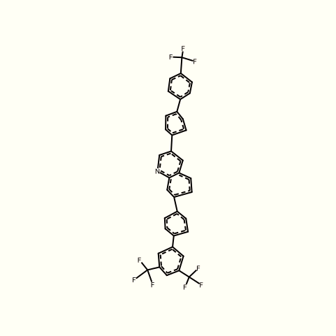 FC(F)(F)c1ccc(-c2ccc(-c3cnc4cc(-c5ccc(-c6cc(C(F)(F)F)cc(C(F)(F)F)c6)cc5)ccc4c3)cc2)cc1